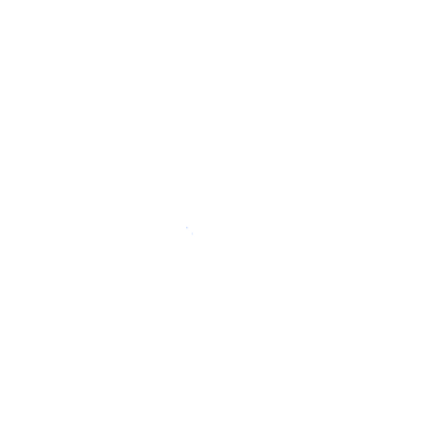 Br.CCNCl.Cl